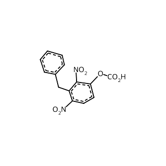 O=C(O)Oc1ccc([N+](=O)[O-])c(Cc2ccccc2)c1[N+](=O)[O-]